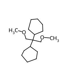 COCC(COC)(C1CCCCC1)C1CCCCC1